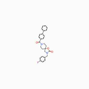 O=C1OC2(CCN(C(=O)c3ccc(-c4ccccc4)cc3)CC2)CN1Cc1ccc(I)cc1